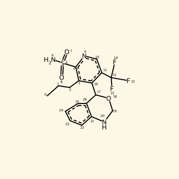 CCCc1c(S(N)(=O)=O)ncc(C(F)(F)F)c1C1OCNc2ccccc21